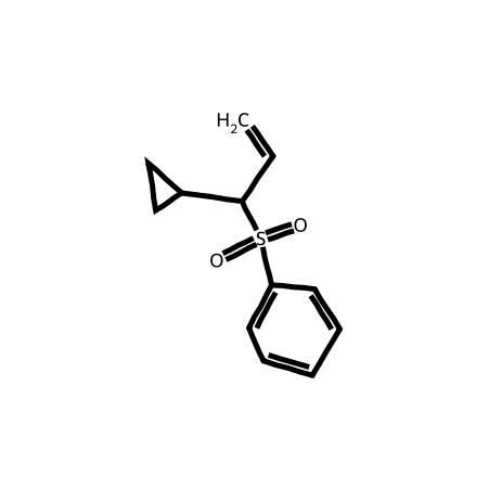 C=CC(C1CC1)S(=O)(=O)c1ccccc1